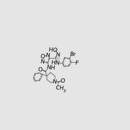 CC(=O)N1CCC(C(=O)Nc2nonc2/C(=N\O)Nc2ccc(F)c(Br)c2)(c2ccccc2)CC1